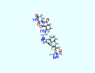 Cc1nnc2n1-c1sc(C#Cc3cnn(CCNc4cccc5c4C(=O)N(C4CCC(=O)NC4=O)C5=O)c3)c(Cc3ccccc3)c1COC2